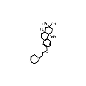 CCC[C@@]1(O)CC[C@@]2(CCC)c3ccc(OCCN4CCOCC4)cc3CC[C@@H]2C1